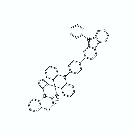 c1ccc(-n2c3ccccc3c3ccc(-c4ccc(B5c6ccccc6C6(c7ccccc75)c5ccccc5B5c7ccccc7Oc7cccc6c75)cc4)cc32)cc1